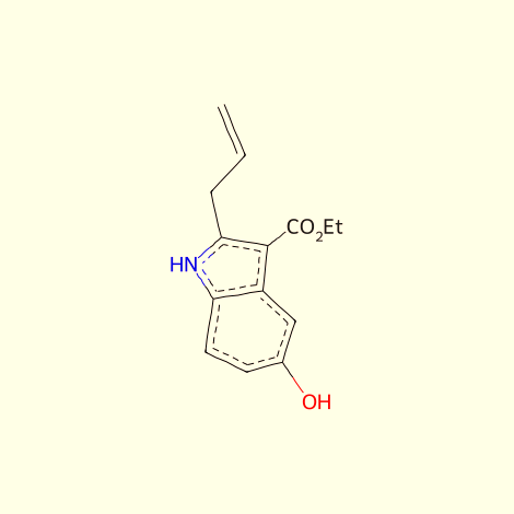 C=CCc1[nH]c2ccc(O)cc2c1C(=O)OCC